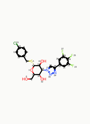 OCC1O[C@H](SCc2ccc(Cl)cc2)C(O)[C@@H](n2cc(-c3cc(F)c(F)c(F)c3)nn2)[C@H]1O